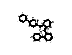 c1ccc(-c2ccc(-c3oc(-c4ccccc4-c4ccccc4)c4ccccc34)nc2)cc1